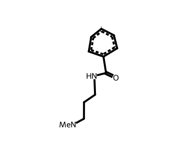 CNCCCNC(=O)c1cc[c]cc1